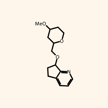 COC1CCOC(COC2CCc3cccnc32)C1